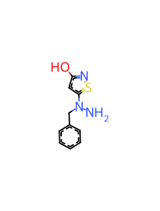 NN(Cc1ccccc1)c1cc(O)ns1